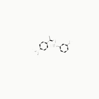 CC(=NNc1cccc(Br)c1)c1ccc([N+](=O)[O-])cc1